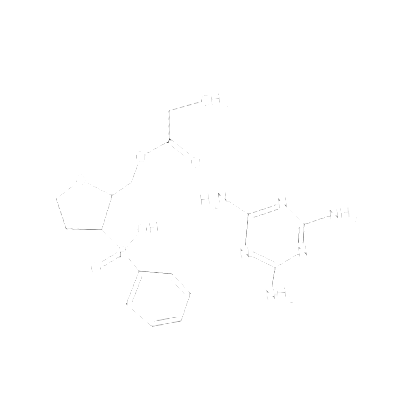 CCC(=O)OCC1OCCC1P(=O)(O)c1ccccc1.Nc1nc(N)nc(N)n1